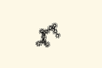 c1ccc(-c2ccc(-n3c4ccccc4c4ccc(-c5ccc6c(c5)c5ccccc5n6-c5ccc(-c6cc(-c7ccccc7)cc(-c7ccccc7)n6)cc5)cc43)cc2)cc1